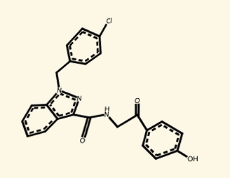 O=C(CNC(=O)c1nn(Cc2ccc(Cl)cc2)c2ccccc12)c1ccc(O)cc1